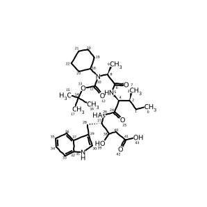 CC[C@H](C)[C@H](NC(=O)[C@H](C)N(C(=O)OC(C)(C)C)C1CCCCC1)C(=O)[AsH][C@@H](Cc1c[nH]c2ccccc12)C(O)CC(=O)O